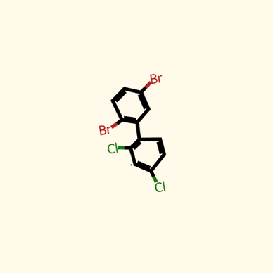 Clc1[c]c(Cl)c(-c2cc(Br)ccc2Br)cc1